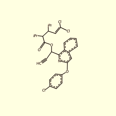 C#CC(OC(=O)C(C(C)C)C(C=C(Cl)Cl)C(C)C)c1nc(Oc2ccc(Cl)cc2)cc2ccccc12